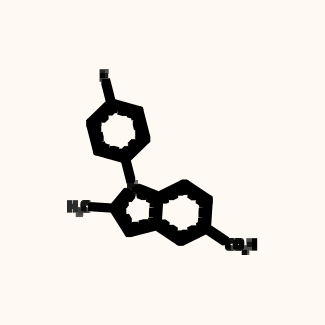 Cc1cc2cc(C(=O)O)ccc2n1-c1ccc(F)cc1